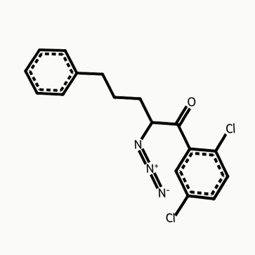 [N-]=[N+]=NC(CCCc1ccccc1)C(=O)c1cc(Cl)ccc1Cl